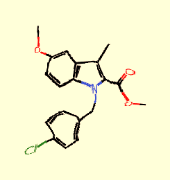 COC(=O)c1c(C)c2cc(OC)ccc2n1Cc1ccc(Cl)cc1